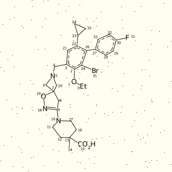 CCOc1c(CN2CC3(CC(N4CCC(C)(C(=O)O)CC4)=NO3)C2)cc(C2CC2)c(-c2ccc(F)cc2)c1Br